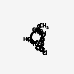 COCCN1[C@@H](C)C/C=C\[C@H](O)[C@@H]2CC[C@H]2CN2C[C@@]3(CCCc4cc(Cl)ccc43)COc3ccc(cc32)C(=O)NS1(=O)=O